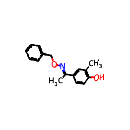 C/C(=N\OCc1ccccc1)c1ccc(O)c(C)c1